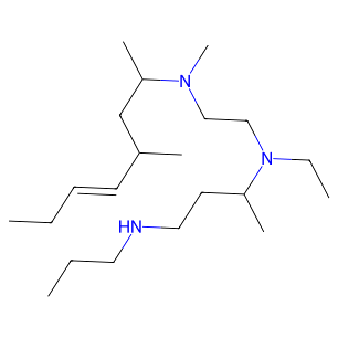 CC/C=C/C(C)CC(C)N(C)CCN(CC)C(C)CCNCCC